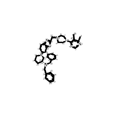 Cc1ncnc(N2CCN(Cc3nc4ccc(N5CCC[C@@H](N(Cc6ccccc6)Cc6ccccc6)C5)cc4o3)CC2)c1C